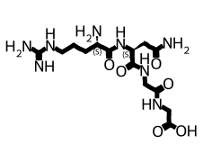 N=C(N)NCCC[C@H](N)C(=O)N[C@@H](CC(N)=O)C(=O)NCC(=O)NCC(=O)O